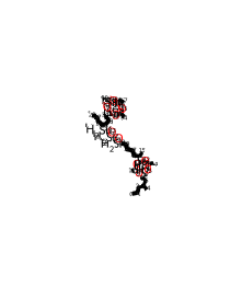 CCCC(C)CC[Si]1(C)O[SiH](C)O[SiH](C(C)CCCC[SiH2]O[SiH2]O[SiH2]C(CCC)CC[SiH]2O[SiH](C)O[SiH](C)O[SiH](C)O2)O[SiH](C)O1